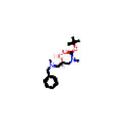 CN(Cc1ccccc1)C[C@H](O)CN(C)C(=O)OC(C)(C)C